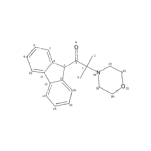 CC(C)(C(=O)C1c2ccccc2-c2ccccc21)N1CCOCC1